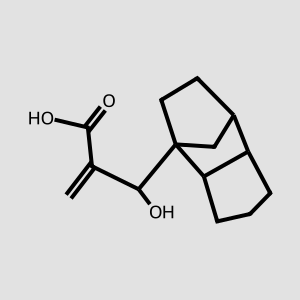 C=C(C(=O)O)C(O)C12CCC(C1)C1CCCC12